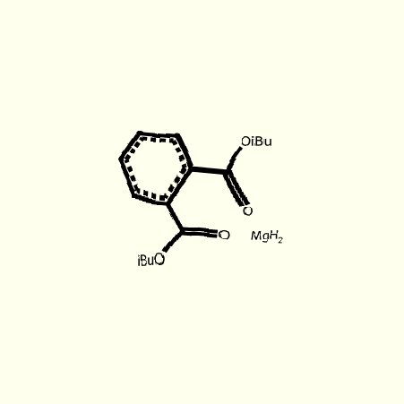 CC(C)COC(=O)c1ccccc1C(=O)OCC(C)C.[MgH2]